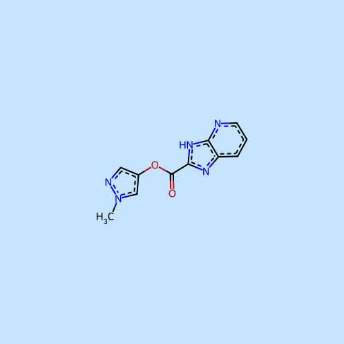 Cn1cc(OC(=O)c2nc3cccnc3[nH]2)cn1